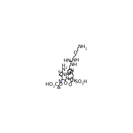 N=C(NCCOCCN)NCc1cnn(C[C@@H]2[C@H](NC(=O)/C(=N\OC3(C(=O)O)CC3)c3csc(N)n3)C(=O)N2S(=O)(=O)O)n1